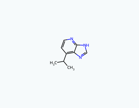 CC(C)c1ccnc2[nH]cnc12